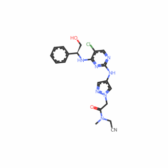 CN(CC#N)C(=O)Cn1cc(Nc2ncc(Cl)c(N[C@H](CO)c3ccccc3)n2)cn1